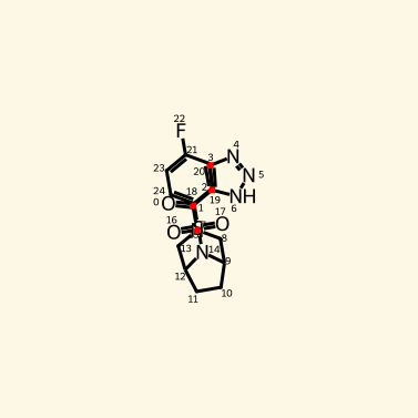 O=C(c1cnn[nH]1)N1CC2CCC(C1)N2S(=O)(=O)c1ccc(F)cc1